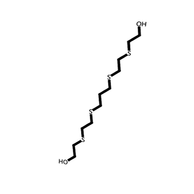 OCCSCCSCCCSCCSCCO